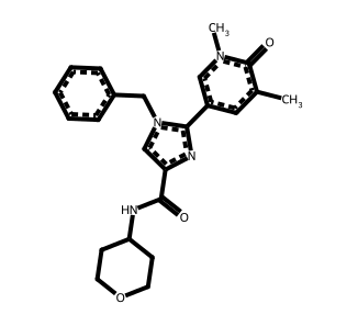 Cc1cc(-c2nc(C(=O)NC3CCOCC3)cn2Cc2ccccc2)cn(C)c1=O